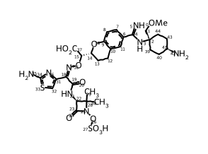 COC[C@]1(NC(=N)c2ccc3c(c2)CC[C@H](C(O/N=C(\C(=O)N[C@@H]2C(=O)N(OS(=O)(=O)O)C2(C)C)c2csc(N)n2)C(=O)O)O3)CC[C@H](N)CC1